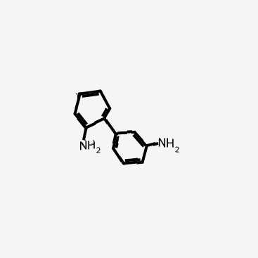 Nc1cccc(-c2cc[c]cc2N)c1